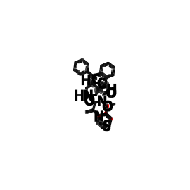 C=C(C(=O)N(Cc1cscn1)C(=O)[C@]12CNC[C@H]1[C@@]1(c3ccccc3)CC[C@@H]2c2ccccc21)c1ccccc1OC